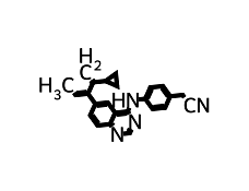 C=C(/C(=C\C)c1ccc2ncnc(Nc3ccc(CC#N)cc3)c2c1)C1CC1